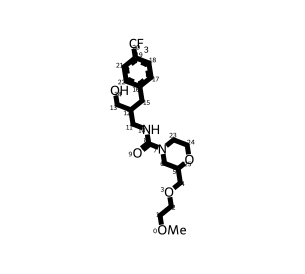 COCCOCC1CN(C(=O)NCC(CO)Cc2ccc(C(F)(F)F)cc2)CCO1